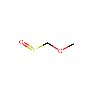 COC[S+]=O